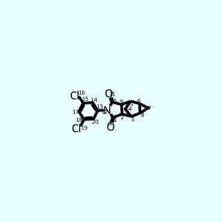 O=C1C2C3CC(C4CC43)C2C(=O)N1c1cc(Cl)cc(Cl)c1